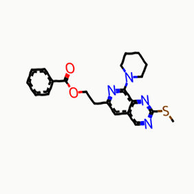 CSc1ncc2cc(CCOC(=O)c3ccccc3)nc(N3CCCCC3)c2n1